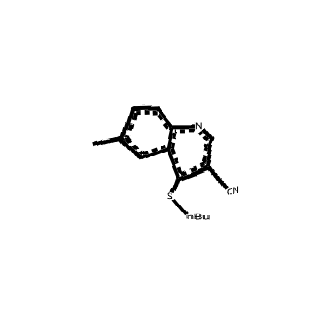 CCCCSc1c(C#N)cnc2ccc(C)cc12